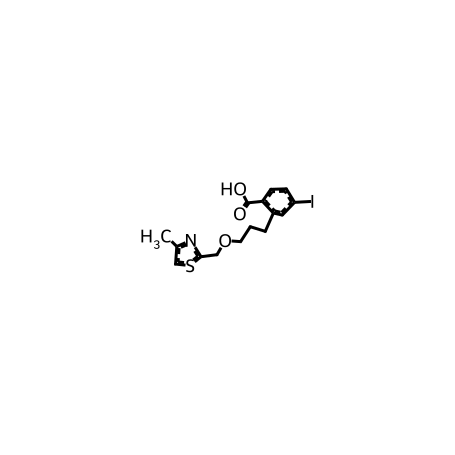 Cc1csc(COCCCc2cc(I)ccc2C(=O)O)n1